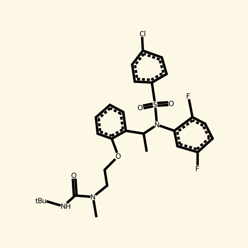 CC(c1ccccc1OCCN(C)C(=O)NC(C)(C)C)N(c1cc(F)ccc1F)S(=O)(=O)c1ccc(Cl)cc1